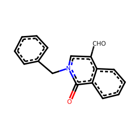 O=Cc1cn(Cc2ccccc2)c(=O)c2ccccc12